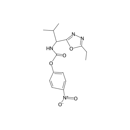 CCc1nnc(C(NC(=O)Oc2ccc([N+](=O)[O-])cc2)C(C)C)o1